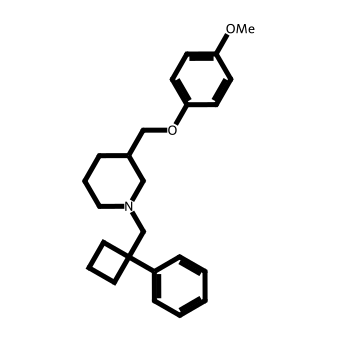 COc1ccc(OCC2CCCN(CC3(c4ccccc4)CCC3)C2)cc1